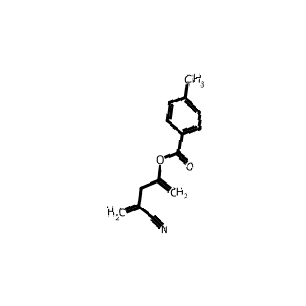 C=C(C#N)CC(=C)OC(=O)c1ccc(C)cc1